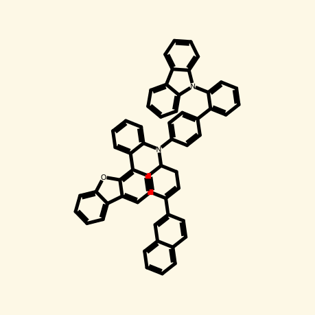 C1=CC(N(c2ccc(-c3ccccc3-n3c4ccccc4c4ccccc43)cc2)c2ccccc2-c2cccc3c2oc2ccccc23)CC=C1c1ccc2ccccc2c1